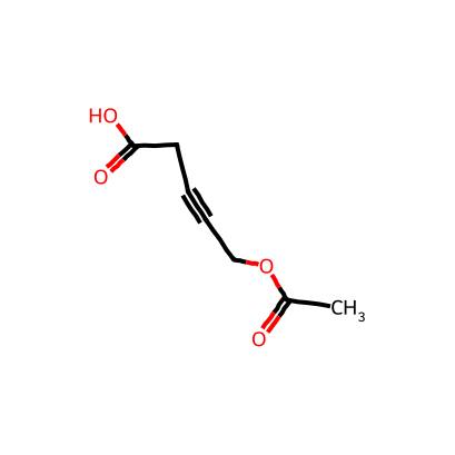 CC(=O)OCC#CCC(=O)O